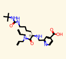 C=CCN(CC=C)C(=O)[C@H](CCCCNC(=O)NC(C)(C)C)NCc1cc(C(=O)O)ccn1